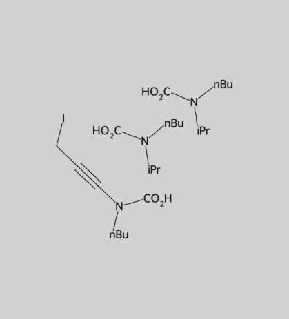 CCCCN(C#CCI)C(=O)O.CCCCN(C(=O)O)C(C)C.CCCCN(C(=O)O)C(C)C